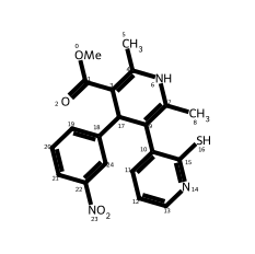 COC(=O)C1=C(C)NC(C)=C(c2cccnc2S)C1c1cccc([N+](=O)[O-])c1